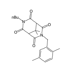 CCCCN1C(=O)C2C(=O)N(Cc3cc(C)ccc3C)C(=O)C(C1=O)C2(C)C